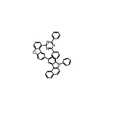 c1ccc(-c2nc(-c3ccccc3)nc(-c3cccc4oc5ccc(-c6ccc7c(c6)c6c8ccccc8ccc6n7-c6ccccc6)cc5c34)n2)cc1